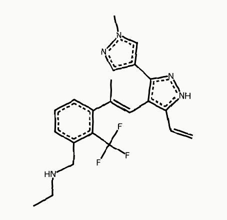 C=Cc1[nH]nc(-c2cnn(C)c2)c1/C=C(\C)c1cccc(CNCC)c1C(F)(F)F